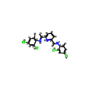 CC(=Nc1c(C)cc(Cl)cc1Cl)c1cccc(C(C)=Nc2c(C)cc(Cl)cc2Cl)n1